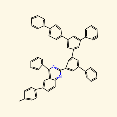 Cc1ccc(-c2ccc3nc(-c4cc(-c5ccccc5)cc(-c5cc(-c6c#cccc6)cc(-c6ccc(-c7ccccc7)cc6)c5)c4)nc(-c4ccccc4)c3c2)cc1